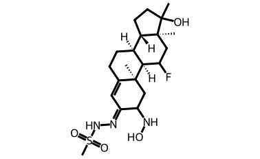 CC1(O)CC[C@H]2[C@@H]3CCC4=CC(=NNS(C)(=O)=O)C(NO)C[C@]4(C)[C@@H]3C(F)C[C@@]21C